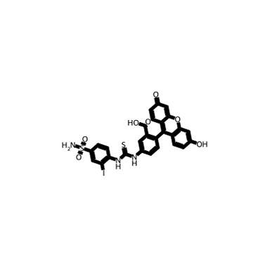 NS(=O)(=O)c1ccc(NC(=S)Nc2ccc(-c3c4ccc(=O)cc-4oc4cc(O)ccc34)c(C(=O)O)c2)c(I)c1